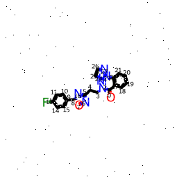 O=C(NCCc1noc(-c2ccc(F)cc2)n1)c1ccccc1-n1nccn1